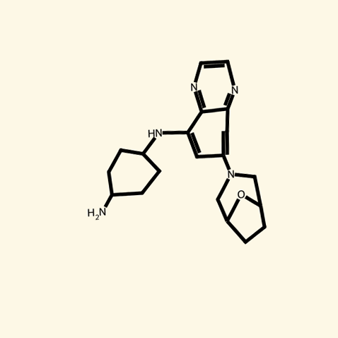 NC1CCC(Nc2cc(N3CC4CCC(C3)O4)cc3nccnc23)CC1